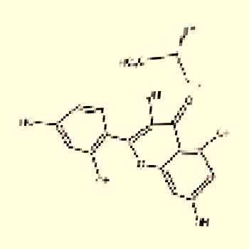 CC(C)[C@H](N)C(=O)O.O=c1c(O)c(-c2ccc(O)cc2O)oc2cc(O)cc(O)c12